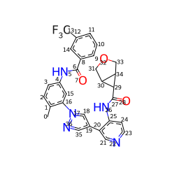 Cc1ccc(NC(=O)c2cccc(C(F)(F)F)c2)cc1-n1cc(-c2cnccc2NC(=O)C2C3COCC32)cn1